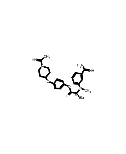 CCC(C)[C@@H](C(=O)Oc1ccc(OC2CCN(C(C)=N)CC2)cc1)N(C)c1cccc(C(=N)N)c1